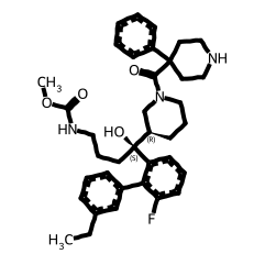 CCc1cccc(-c2c(F)cccc2[C@](O)(CCCNC(=O)OC)[C@@H]2CCCN(C(=O)C3(c4ccccc4)CCNCC3)C2)c1